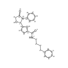 O=C(NCCCCc1ccccc1)c1ccc(C2OCC(=O)N2c2ccccc2)o1